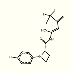 C=C(/C=C(\O)NC(=O)[C@@H]1CCN1c1ccc(Cl)cc1)C(F)(F)F